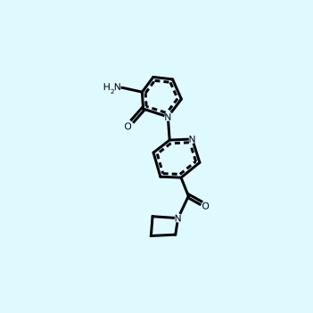 Nc1cccn(-c2ccc(C(=O)N3CCC3)cn2)c1=O